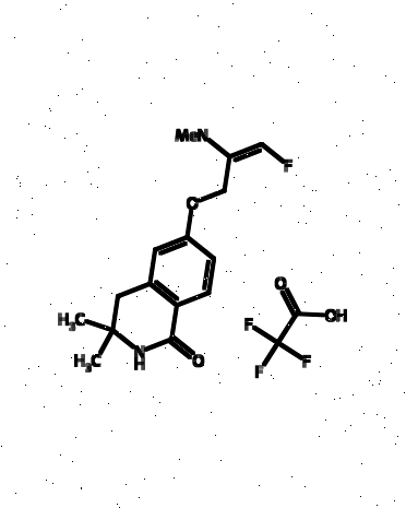 CN/C(=C/F)COc1ccc2c(c1)CC(C)(C)NC2=O.O=C(O)C(F)(F)F